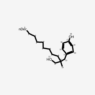 CCCCCCCCCCCCCCCCCCC(C)(CO)Cc1ccc(O)cc1